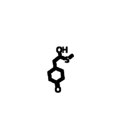 CSC(O)CC1CCC(=O)CC1